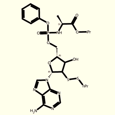 CCCSSC1C(O)[C@@H](COP(=O)(N[C@@H](C)C(=O)OC(C)C)Oc2ccccc2)O[C@H]1n1cnc2c(N)ncnc21